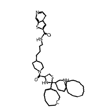 O=C(NCCCCC1CCN(C(=O)C2CSC(C3CCCCCCCC3)(C3CCC4(CCCCCCCCC4)NC3)N2)CC1)C1=CC2CC=NC=C2S1